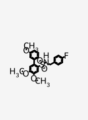 COc1cccc(-c2cc(OC)c(OC)cc2S(=O)(=O)NCc2ccc(F)cc2)c1